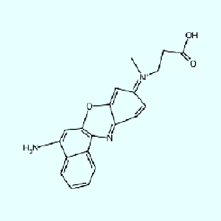 C/[N+](CCC(=O)O)=c1/ccc2nc3c(cc(N)c4ccccc43)oc-2c1